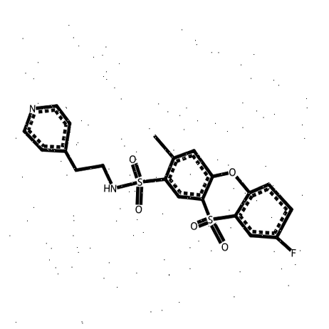 Cc1cc2c(cc1S(=O)(=O)NCCc1ccncc1)S(=O)(=O)c1cc(F)ccc1O2